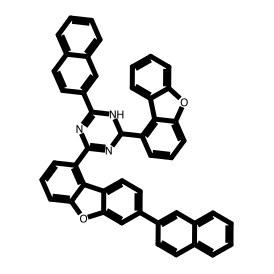 c1ccc2cc(C3=NC(c4cccc5oc6cc(-c7ccc8ccccc8c7)ccc6c45)=NC(c4cccc5oc6ccccc6c45)N3)ccc2c1